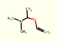 C=COC(C)[As](C)C